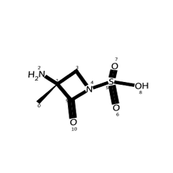 C[C@@]1(N)CN(S(=O)(=O)O)C1=O